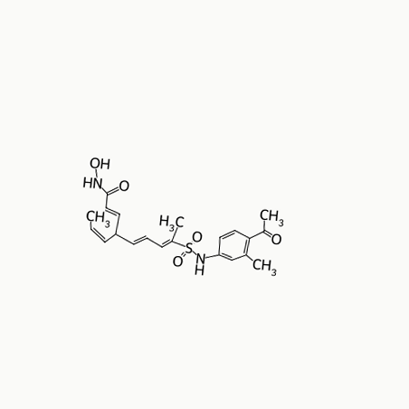 C/C=C\C(/C=C/C=C(\C)S(=O)(=O)Nc1ccc(C(C)=O)c(C)c1)/C=C/C(=O)NO